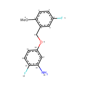 COc1ccc(F)cc1COc1ccc(F)c(N)c1